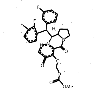 COC(=O)OCOc1c2n(ncc1=O)[C@@H]([C@H](c1cccc(F)c1)c1cccc(F)c1F)[C@H]1CCCN1C2=O